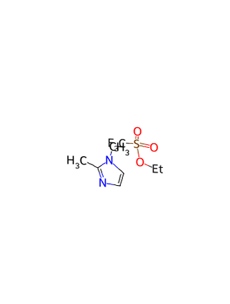 CCOS(=O)(=O)C(F)(F)F.Cc1nccn1C